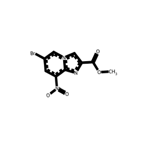 COC(=O)c1cn2cc(Br)cc([N+](=O)[O-])c2n1